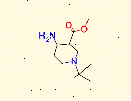 COC(=O)C1CN(C(C)(C)C)CCC1N